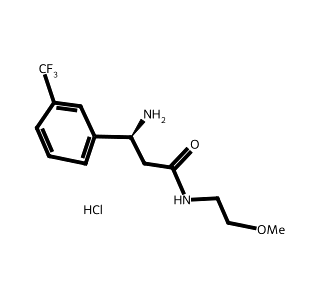 COCCNC(=O)C[C@H](N)c1cccc(C(F)(F)F)c1.Cl